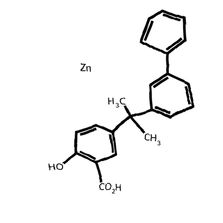 CC(C)(c1cccc(-c2ccccc2)c1)c1ccc(O)c(C(=O)O)c1.[Zn]